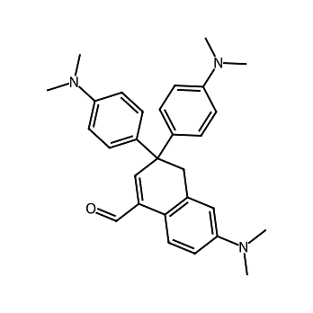 CN(C)c1ccc(C2(c3ccc(N(C)C)cc3)C=C(C=O)c3ccc(N(C)C)cc3C2)cc1